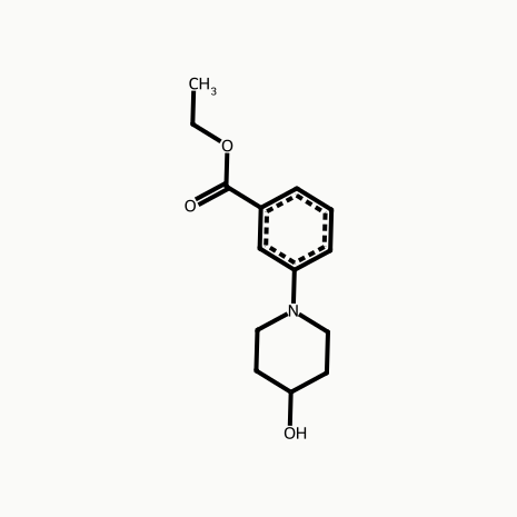 CCOC(=O)c1cccc(N2CCC(O)CC2)c1